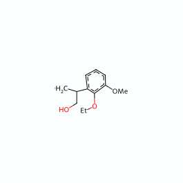 [CH2]C(CO)c1cccc(OC)c1OCC